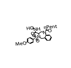 CCCCCC(=O)N1CC(C(=O)NO)N(S(=O)(=O)c2ccc(OC)cc2)Cc2ccccc21